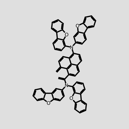 C=C(c1ccc2ccc(N(c3ccc4c(c3)oc3ccccc34)c3cccc4c3oc3ccccc34)c3ccc(=C)c1c23)N(c1ccc2oc3ccccc3c2c1)c1cccc2c1oc1ccccc12